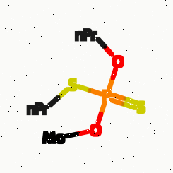 CCCOP(=S)([O][Mo])SCCC